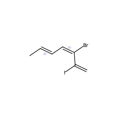 C=C(I)/C(Br)=C\C=C\C